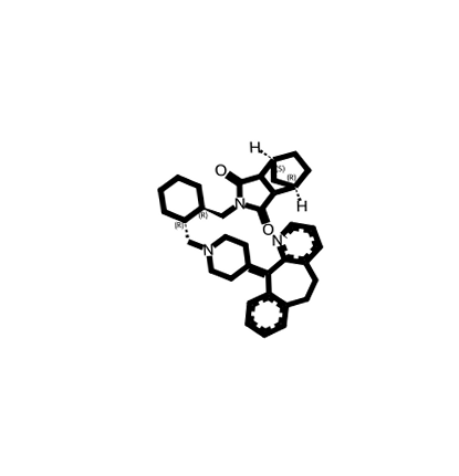 O=C1C2C(C(=O)N1C[C@@H]1CCCC[C@H]1CN1CCC(=C3c4ccccc4CCc4cccnc43)CC1)[C@H]1CC[C@@H]2C1